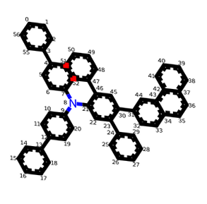 c1ccc(-c2ccc(N(c3ccc(-c4ccccc4)cc3)c3cc(-c4ccccc4)c(-c4ccc5ccc6ccccc6c5c4)cc3-c3ccccc3)cc2)cc1